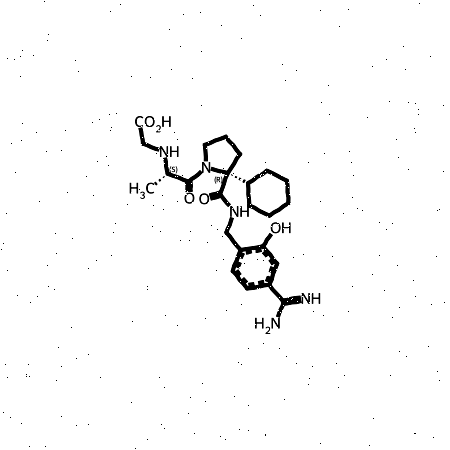 C[C@H](NCC(=O)O)C(=O)N1CCC[C@]1(C(=O)NCc1ccc(C(=N)N)cc1O)C1CCCCC1